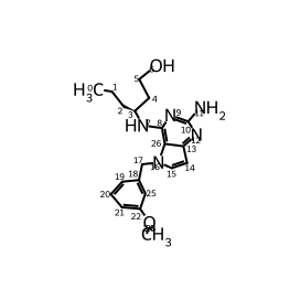 CCC[C@@H](CCO)Nc1nc(N)nc2ccn(Cc3cccc(OC)c3)c12